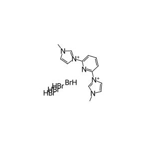 Br.Br.Br.Br.Cn1cc[n+](-c2cccc(-[n+]3ccn(C)c3)n2)c1